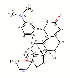 C/C=C\[C@@]1(O)CC[C@H]2[C@@H]3CCC4=CC(=O)CCC4=C3[C@@H](c3ccc(N(C)C)cc3)C[C@@]21C